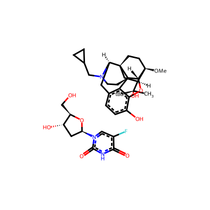 CO[C@]12CC[C@@]3(C[C@@H]1[C@](C)(O)C(C)(C)C)[C@H]1Cc4ccc(O)c5c4[C@@]3(CCN1CC1CC1)[C@H]2O5.O=c1[nH]c(=O)n([C@H]2C[C@H](O)[C@@H](CO)O2)cc1F